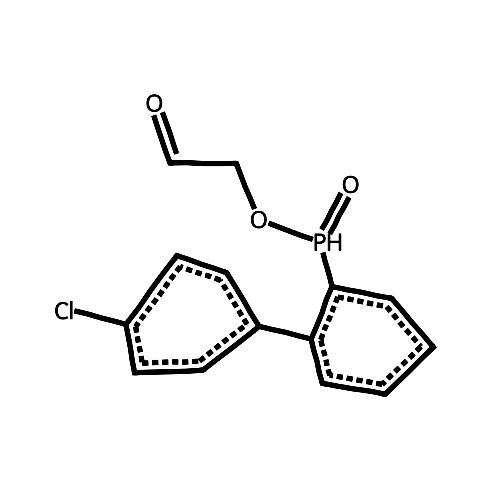 O=CCO[PH](=O)c1ccccc1-c1ccc(Cl)cc1